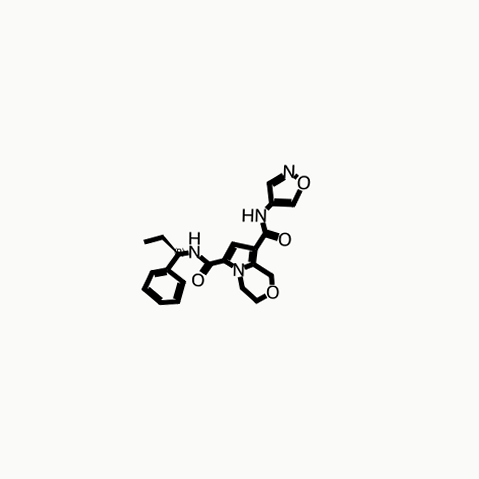 CC[C@@H](NC(=O)c1cc(C(=O)Nc2cnoc2)c2n1CCOC2)c1ccccc1